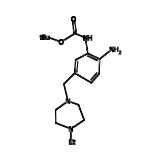 CCN1CCN(Cc2ccc(N)c(NC(=O)OC(C)(C)C)c2)CC1